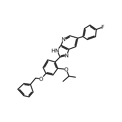 CC(C)Oc1cc(OCc2ccccc2)ccc1-c1nc2cc(-c3ccc(F)cc3)cnc2[nH]1